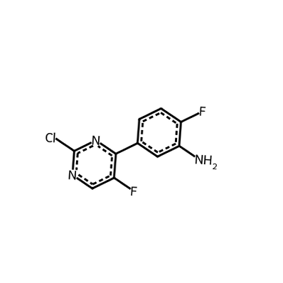 Nc1cc(-c2nc(Cl)ncc2F)ccc1F